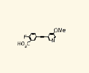 COc1cncc(C#Cc2ccc(F)c(C(=O)O)c2)c1